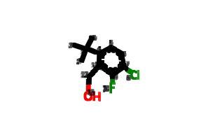 CC(C)(C)c1ccc(Cl)c(F)c1CO